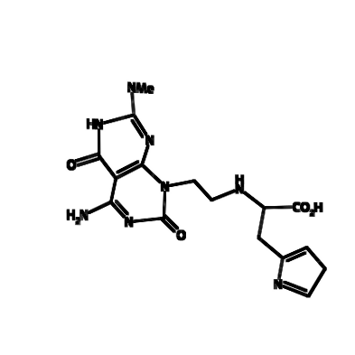 CNc1nc2c(c(N)nc(=O)n2CCNC(CC2=CCC=N2)C(=O)O)c(=O)[nH]1